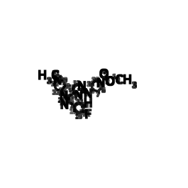 CCOC(=O)N1CCC(Nc2nccc(-c3c(-c4ccc(F)cc4)ncn3C3CCN(C)CC3)n2)CC1